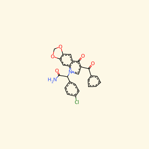 NC(=O)C(c1ccc(Cl)cc1)n1cc(C(=O)c2ccccc2)c(=O)c2cc3c(cc21)OCO3